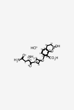 Cl.NC(=O)C[C@H](N)C(=O)N1CC(Oc2ccc3c(c2C(=O)O)OB(O)CC3)C1